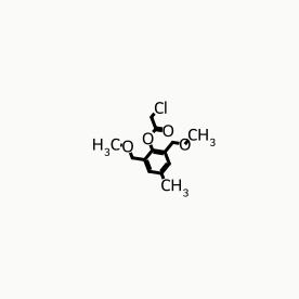 COCc1cc(C)cc(COC)c1OC(=O)CCl